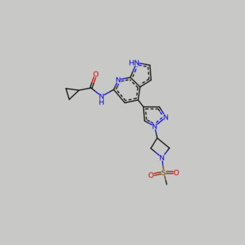 CS(=O)(=O)N1CC(n2cc(-c3cc(NC(=O)C4CC4)nc4[nH]ccc34)cn2)C1